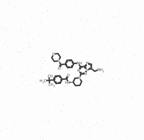 CC(C)(C)c1ccc(C(=O)N[C@@H]2CCCN(c3nc(Nc4ccc(C(=O)N5CCOCC5)cc4)c4ncc(CN)n4n3)C2)cc1